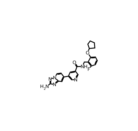 Nc1nc2cc(-c3cncc(C(=O)NCc4c(F)cccc4OC4CCCC4)c3)ccn2n1